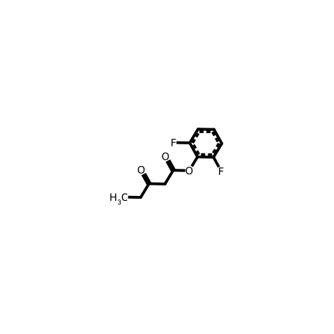 CCC(=O)CC(=O)Oc1c(F)cccc1F